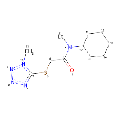 CCN(C(=O)CSc1nnnn1C)C1CCCCC1